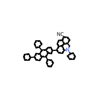 N#Cc1ccc2c3c1ccc1c(-c4ccc5c(-c6ccccc6)c6cc(-c7ccccc7)ccc6c(-c6ccccc6)c5c4)ccc(c13)N(c1ccccc1)C2